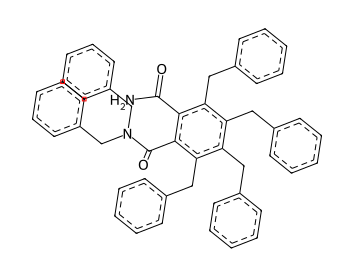 NC(=O)c1c(Cc2ccccc2)c(Cc2ccccc2)c(Cc2ccccc2)c(Cc2ccccc2)c1C(=O)N(Cc1ccccc1)Cc1ccccc1